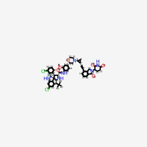 COc1cc([C@H]2CN([C@@H]3C[C@@H]3C#Cc3cccc4c3CN(C3CCC(=O)NC3=O)C4=O)CCO2)ccc1NC(=O)[C@@H]1N[C@@H](CC(C)(C)C)[C@@]2(CNc3cc(Cl)ccc32)[C@H]1c1cccc(Cl)c1F